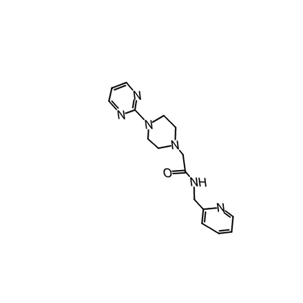 O=C(CN1CCN(c2ncccn2)CC1)NCc1ccccn1